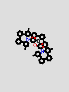 Cc1ccc2c(c1)c1ccccc1c1ccccc1c1cc(C)ccc1n2-c1ccc2c(c1)Oc1cc(-n3c4ccc(C)cc4c4ccccc4c4ccccc4c4cc(C)ccc43)ccc1B2c1c(-c2ccccc2)cccc1-c1ccccc1